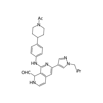 CC(=O)N1CCC(c2ccc(Nc3nc(-c4cnn(CC(C)C)c4)cc4c3C(C=O)NC=C4)cc2)CC1